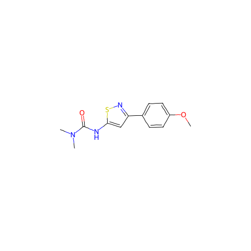 COc1ccc(-c2cc(NC(=O)N(C)C)sn2)cc1